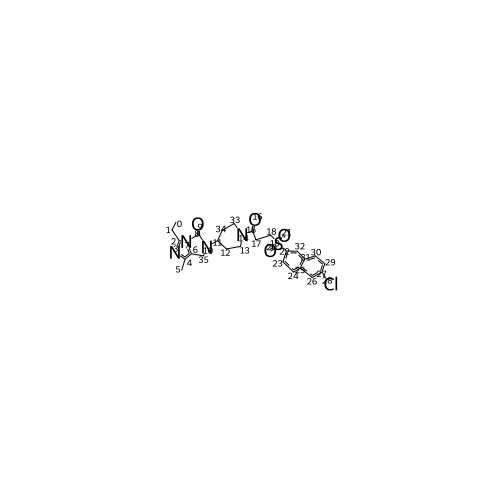 CCc1nc(C)c2n1C(=O)N(C1CCN(C(=O)CCS(=O)(=O)c3ccc4cc(Cl)ccc4c3)CC1)C2